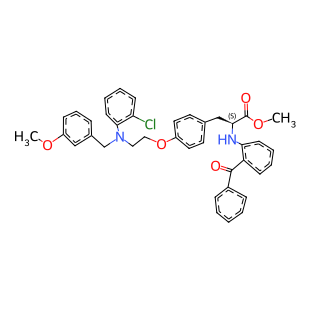 COC(=O)[C@H](Cc1ccc(OCCN(Cc2cccc(OC)c2)c2ccccc2Cl)cc1)Nc1ccccc1C(=O)c1ccccc1